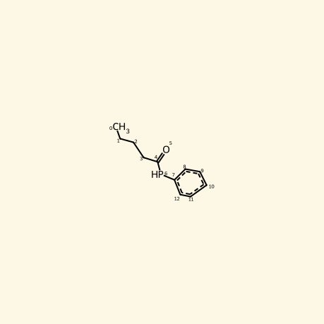 CCCCC(=O)Pc1ccccc1